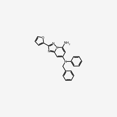 Nc1cc(N(Cc2ccccc2)c2ccccc2)cc2nc(-c3ccco3)nn12